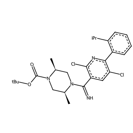 CC(C)c1ccccc1-c1nc(Cl)c(C(=N)N2C[C@H](C)N(C(=O)OC(C)(C)C)C[C@@H]2C)cc1Cl